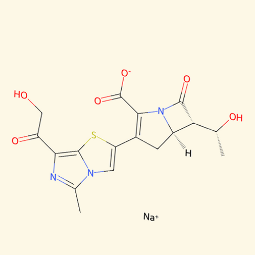 Cc1nc(C(=O)CO)c2sc(C3=C(C(=O)[O-])N4C(=O)[C@H]([C@@H](C)O)[C@H]4C3)cn12.[Na+]